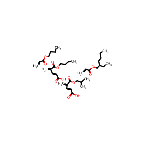 C=C(C=CC(=O)O)C(=O)OCC(C)C.C=C(C=CC(=O)O)C(=O)OCCCC.C=CC(=O)OCC(CC)CCCC.C=CC(=O)OCCCC